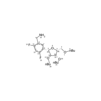 CCCCOC[C@H]1O[C@@H](c2cc(CN)c(F)cc2F)C(OCCCC)[C@H]1OCCCC